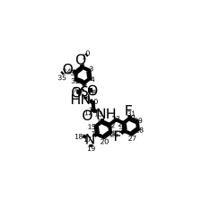 COc1ccc(S(=O)(=O)NCC(=O)Nc2cc(N(C)C)ccc2Cc2c(F)cccc2F)cc1OC